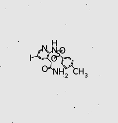 Cc1ccc(S(=O)(=O)Nc2ncc(I)cc2CC(N)=O)cc1